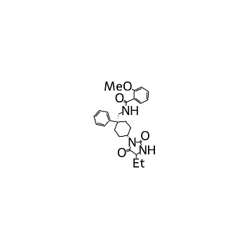 CCC1NC(=O)N([C@H]2CC[C@](CNC(=O)c3ccccc3OC)(c3ccccc3)CC2)C1=O